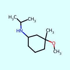 COC1(C)CCCC(NC(C)C)C1